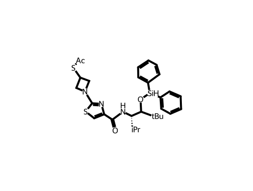 CC(=O)SC1CN(c2nc(C(=O)N[C@@H](C(C)C)C(O[SiH](c3ccccc3)c3ccccc3)C(C)(C)C)cs2)C1